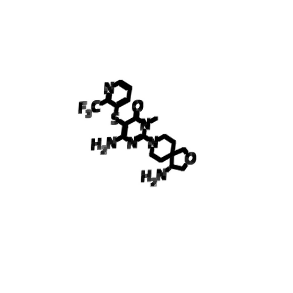 Cn1c(N2CCC3(CC2)COC[C@H]3N)nc(N)c(Sc2cccnc2C(F)(F)F)c1=O